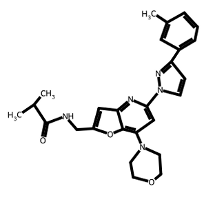 Cc1cccc(-c2ccn(-c3cc(N4CCOCC4)c4oc(CNC(=O)C(C)C)cc4n3)n2)c1